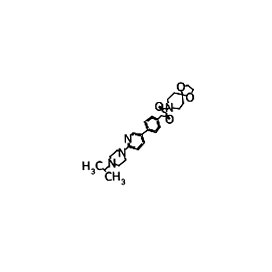 CC(C)N1CCN(c2ccc(-c3ccc(S(=O)(=O)N4CCC5(CC4)OCCO5)cc3)cn2)CC1